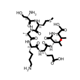 CSCC[C@H](NC(=O)[C@@H](N)CO)C(=O)N[C@@H](C)C(=O)N[C@@H](CCCCN)C(=O)N[C@@H](CCC(=O)O)C(=O)N[C@H](C(=O)N[C@H](C(=O)O)C(C)C)C(C)C